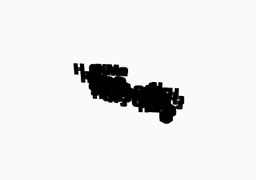 CN[C@@H](C)CN[C@H]1CCS[C@H]2CC(C)(C)[C@@H](C(=O)N[C@@H]3CCCc4cc(CN[C@@H](C)C(=O)N[C@H]5CCS[C@H]6CC(C)(C)[C@@H](NC(=O)N[C@@H]7CCCc8ccccc87)N6C5=O)ccc43)N2C1=O